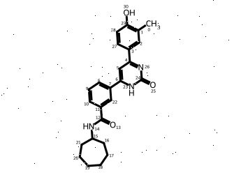 Cc1cc(-c2cc(-c3cccc(C(=O)NC4CCCCCC4)c3)[nH]c(=O)n2)ccc1O